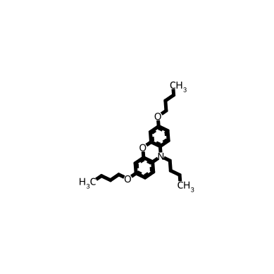 CCCCOc1ccc2c(c1)Oc1cc(OCCCC)ccc1N2CCCC